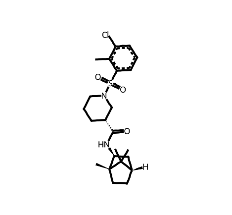 Cc1c(Cl)cccc1S(=O)(=O)N1CCC[C@@H](C(=O)N[C@H]2C[C@@H]3CC[C@@]2(C)C3(C)C)C1